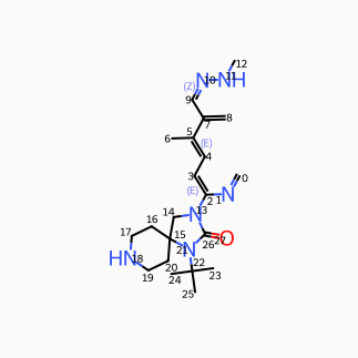 C=N/C(=C\C=C(/C)C(=C)/C=N\NC)N1CC2(CCNCC2)N(C(C)(C)C)C1=O